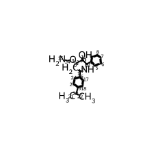 C=C(N[C@@H](c1ccccc1)[C@@H](O)COCN)c1ccc(C(C)C)cc1